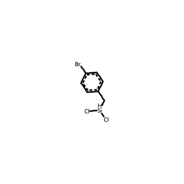 Cl[SiH](Cl)Cc1ccc(Br)cc1